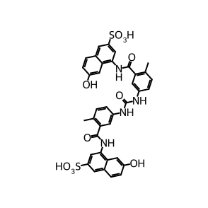 Cc1ccc(NC(=O)Nc2ccc(C)c(C(=O)Nc3cc(S(=O)(=O)O)cc4ccc(O)cc34)c2)cc1C(=O)Nc1cc(S(=O)(=O)O)cc2ccc(O)cc12